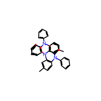 Cc1ccc(N(c2ccccc2)c2ccccc2)c(N(c2ccccc2)c2cc(C)ccc2N(c2ccccc2)c2ccccc2)c1